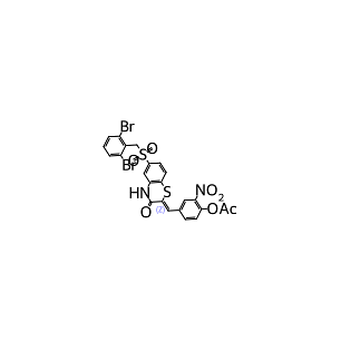 CC(=O)Oc1ccc(/C=C2\Sc3ccc(S(=O)(=O)Cc4c(Br)cccc4Br)cc3NC2=O)cc1[N+](=O)[O-]